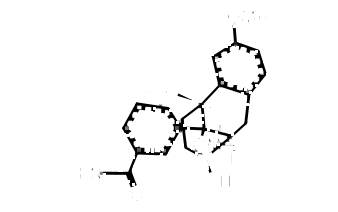 COc1ccc2c(c1)[C@@]1(C)CCN(C)[C@H](C2)C1(OC)c1cccc(C(N)=O)c1